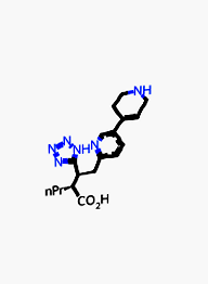 CCC[C@H](C(=O)O)[C@H](Cc1ccc(C2=CCNCC2)cn1)c1nnn[nH]1